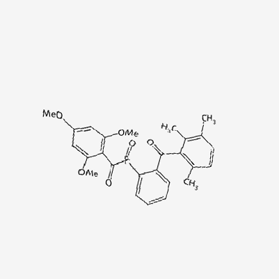 COc1cc(OC)c(C(=O)[P](=O)c2ccccc2C(=O)c2c(C)ccc(C)c2C)c(OC)c1